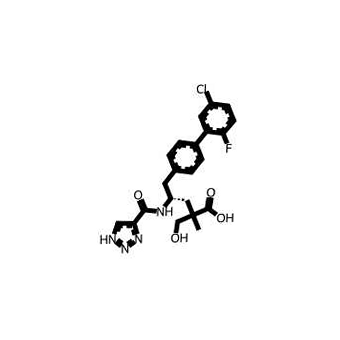 CC(CO)(C[C@@H](Cc1ccc(-c2cc(Cl)ccc2F)cc1)NC(=O)c1c[nH]nn1)C(=O)O